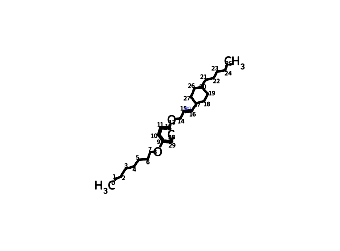 CCCCCCCCOc1ccc(OC/C=C/C2CCC(CCCCC)CC2)cc1